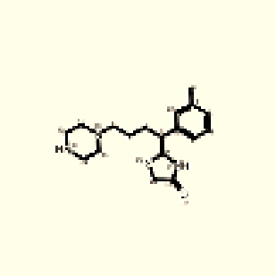 Cc1cccc(C(CCCN2CCNCC2)C2NC(=O)CS2)c1